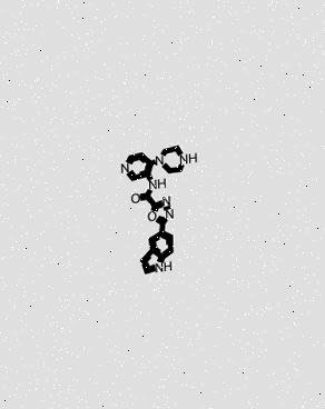 O=C(Nc1cnccc1N1CCNCC1)c1nnc(-c2ccc3[nH]ccc3c2)o1